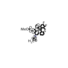 COC(=O)OCOc1c2n(cc/c1=N\OS(C)(=O)=O)N([C@@H]1c3ccccc3SCc3c1ccc(F)c3F)[C@@H]1COCCN1C2=O